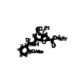 CCCOC(=O)c1cc2c(o1)c(NC(=O)c1ccccc1OC)nn2C(=O)OCC